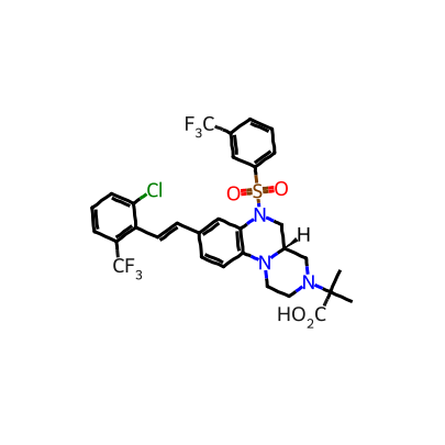 CC(C)(C(=O)O)N1CCN2c3ccc(/C=C/c4c(Cl)cccc4C(F)(F)F)cc3N(S(=O)(=O)c3cccc(C(F)(F)F)c3)C[C@@H]2C1